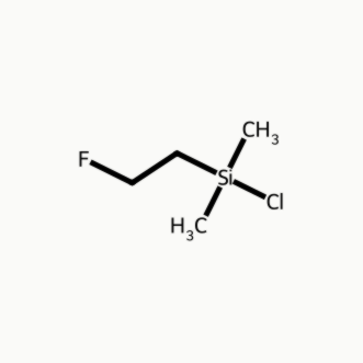 C[Si](C)(Cl)CCF